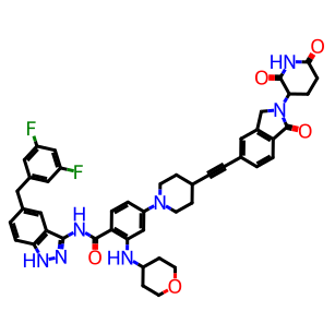 O=C1CCC(N2Cc3cc(C#CC4CCN(c5ccc(C(=O)Nc6n[nH]c7ccc(Cc8cc(F)cc(F)c8)cc67)c(NC6CCOCC6)c5)CC4)ccc3C2=O)C(=O)N1